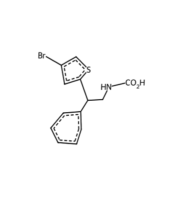 O=C(O)NCC(c1ccccc1)c1cc(Br)cs1